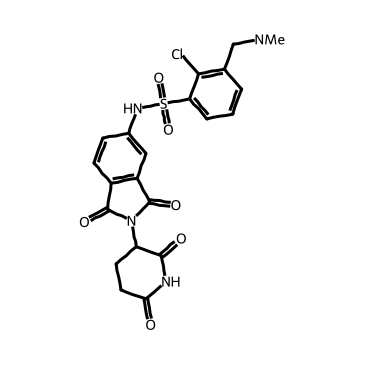 CNCc1cccc(S(=O)(=O)Nc2ccc3c(c2)C(=O)N(C2CCC(=O)NC2=O)C3=O)c1Cl